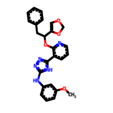 COc1cccc(Nc2nnc(-c3cccnc3OC(Cc3ccccc3)C3=COCO3)[nH]2)c1